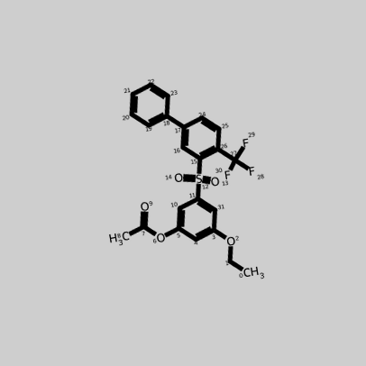 CCOc1cc(OC(C)=O)cc(S(=O)(=O)c2cc(-c3ccccc3)ccc2C(F)(F)F)c1